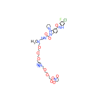 CN(CCCNC(=O)C(=O)NCc1ccc(C(=O)Nc2ccc(Cl)c(F)c2)cc1CN1CCCCC1)CCOCCOCCOCc1cn(CCOCCOCCC(=O)ON2C(=O)CCC2=O)nn1